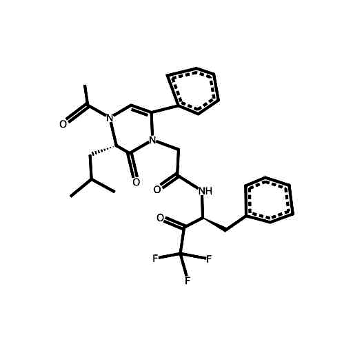 CC(=O)N1C=C(c2ccccc2)N(CC(=O)N[C@@H](Cc2ccccc2)C(=O)C(F)(F)F)C(=O)[C@@H]1CC(C)C